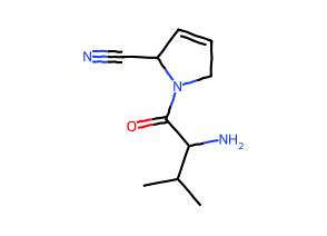 CC(C)C(N)C(=O)N1CC=CC1C#N